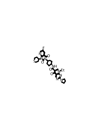 CCn1cc(C(=O)NC2CCC(n3c(=O)c4cc(F)cnc4n(C4CCSCC4)c3=O)CC2)c(=O)c2cnc(N3CCCC3)nc21